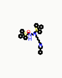 O=C(CSC(c1ccccc1)(c1ccccc1)c1ccccc1)NCCN(CCCCCCCN1CCC(c2ccccc2)CC1)CCSC(c1ccccc1)(c1ccccc1)c1ccccc1